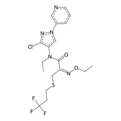 CCO/N=C(/CSCCC(F)(F)F)C(=O)N(CC)c1cn(-c2cccnc2)nc1Cl